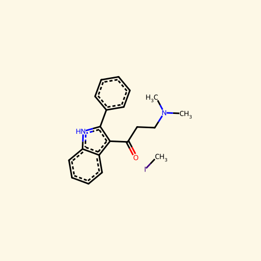 CI.CN(C)CCC(=O)c1c(-c2ccccc2)[nH]c2ccccc12